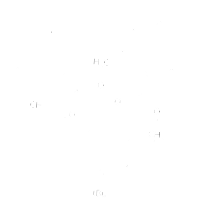 Cc1ccccc1C(=O)Oc1cc(C(C)(C)C)cc(C)c1OC(=O)c1ccccc1C